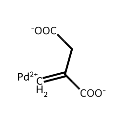 C=C(CC(=O)[O-])C(=O)[O-].[Pd+2]